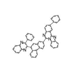 c1ccc(-c2ccc3nc(-c4ccc5c(c4)cc(-c4nc6ccccc6nc4-c4ccccc4)c4ccccc45)n4c5ccccc5nc4c3c2)cc1